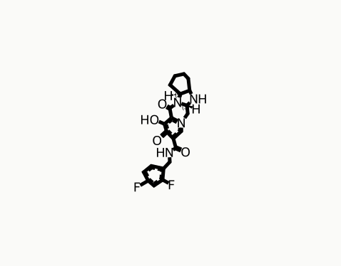 O=C(NCc1ccc(F)cc1F)c1cn2c(c(O)c1=O)C(=O)N1[C@@H](C2)NC2CCCC[C@@H]21